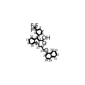 O=C(O)c1c(-c2cccc(C(F)(F)F)c2)c2ccccc2n1CCCOc1cccc2ccccc12